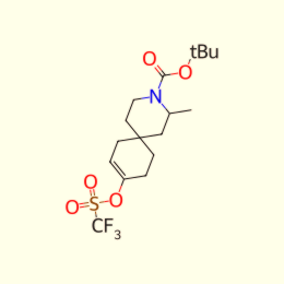 CC1CC2(CC=C(OS(=O)(=O)C(F)(F)F)CC2)CCN1C(=O)OC(C)(C)C